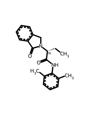 CC[C@H](C(=O)Nc1c(C)cccc1C)N1Cc2ccccc2C1=O